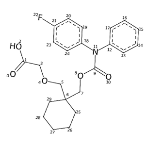 O=C(O)COCC1(COC(=O)N(c2ccccc2)c2ccc(F)cc2)CCCCC1